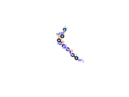 N#Cc1c(NSN2CCC(F)(F)C2)ccc(F)c1Oc1ccc2ncn(-c3cnc(N4CCN(C(=O)CN5CCC(c6ccc(N)cc6F)CC5)CC4)nc3)c(=O)c2c1